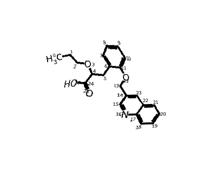 CCCOC(Cc1ccccc1OCc1cnc2ccccc2c1)C(=O)O